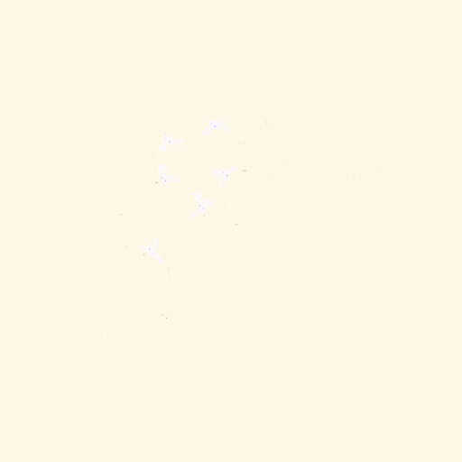 N#CC(=CC1CC1)C(=O)N1CCCC1Cn1c(=O)n(-c2ccc(Oc3ccccc3)cc2)c2c(N)ncnc21